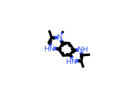 Cc1[nH]c2cc3[nH]cc(C)n(C)c3cc2[nH]c1C